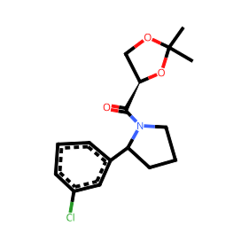 CC1(C)OC[C@H](C(=O)N2CCCC2c2cccc(Cl)c2)O1